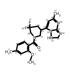 COc1cc(C)ccc1C(=O)N1CC(C2=CC(C)=NC3=NCNN23)CC(F)(F)C1